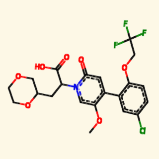 COc1cn(C(CC2COCCO2)C(=O)O)c(=O)cc1-c1cc(Cl)ccc1OCC(F)(F)F